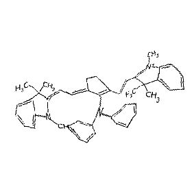 CN1C(=CC=C2CCC(C=CC3=[N+](C)c4ccccc4C3(C)C)=C2N(c2ccccc2)c2ccccc2)C(C)(C)c2ccccc21